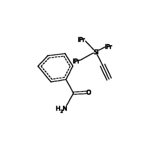 C#C[Si](C(C)C)(C(C)C)C(C)C.NC(=O)c1ccccc1